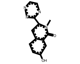 Cn1c(-c2nccnn2)cc2ccc(O)cc2c1=O